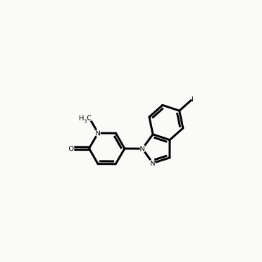 Cn1cc(-n2ncc3cc(I)ccc32)ccc1=O